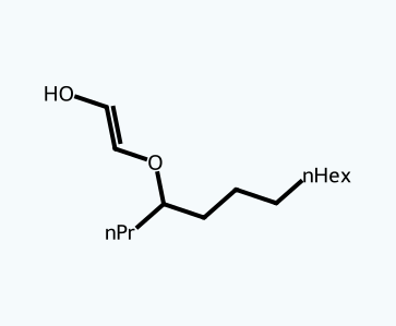 CCCCCCCCCC(CCC)OC=CO